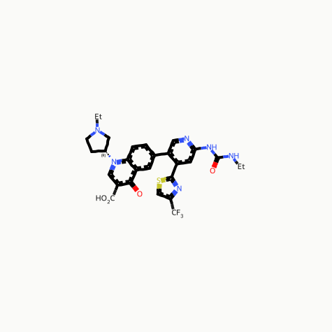 CCNC(=O)Nc1cc(-c2nc(C(F)(F)F)cs2)c(-c2ccc3c(c2)c(=O)c(C(=O)O)cn3[C@@H]2CCN(CC)C2)cn1